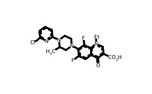 CCn1cc(C(=O)O)c(=O)c2cc(F)c(N3CCN(c4cccc(Cl)n4)C(C)C3)c(F)c21